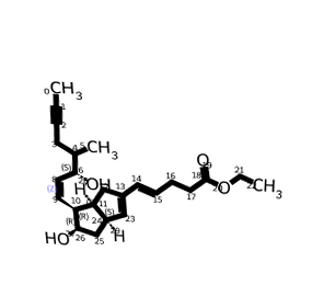 CC#CCC(C)[C@H](O)/C=C\[C@H]1[C@H]2CC(C=CCCC(=O)OCC)=C[C@H]2C[C@H]1O